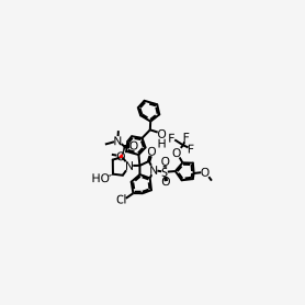 COc1ccc(S(=O)(=O)N2C(=O)C(c3cc(C(O)c4ccccc4)ccc3OC)(N3C[C@H](O)C[C@H]3C(=O)N(C)C)c3cc(Cl)ccc32)c(OC(F)(F)F)c1